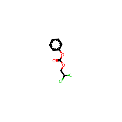 O=C(OCC(Cl)Cl)Oc1ccccc1